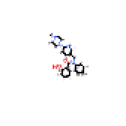 CN1CCN(c2ccc(CN(C(=O)c3ccccc3O)c3ccc(F)cc3)cn2)CC1